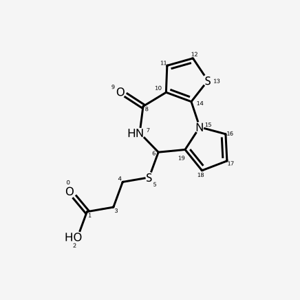 O=C(O)CCSC1NC(=O)c2ccsc2-n2cccc21